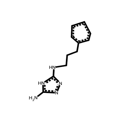 Nc1nnc(NCCCc2ccccc2)[nH]1